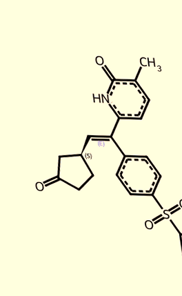 Cc1ccc(/C(=C/[C@H]2CCC(=O)C2)c2ccc(S(=O)(=O)C3CC3)cc2)[nH]c1=O